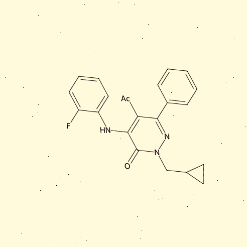 CC(=O)c1c(-c2ccccc2)nn(CC2CC2)c(=O)c1Nc1ccccc1F